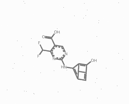 O=C(O)c1cnc(NC2=C3C=C4C(O)=C2C43)nc1C(F)F